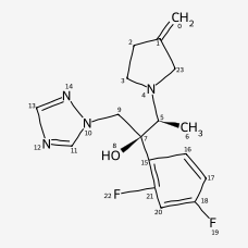 C=C1CCN([C@@H](C)[C@@](O)(Cn2cncn2)c2ccc(F)cc2F)C1